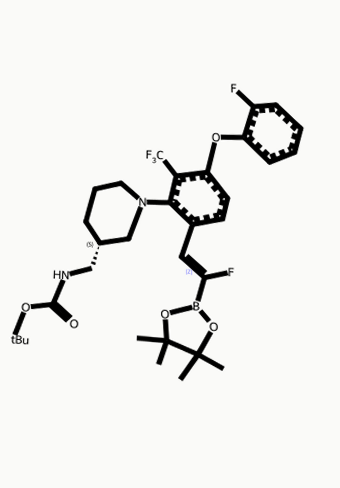 CC(C)(C)OC(=O)NC[C@@H]1CCCN(c2c(/C=C(\F)B3OC(C)(C)C(C)(C)O3)ccc(Oc3ccccc3F)c2C(F)(F)F)C1